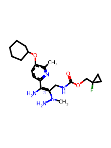 Cc1nc(/C(N)=C(\CNC(=O)OCC2(F)CC2)N(C)N)ccc1OC1CCCCC1